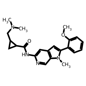 COc1ccccc1-c1cc2cc(NC(=O)C3CC3CN(C)C)ncc2n1C